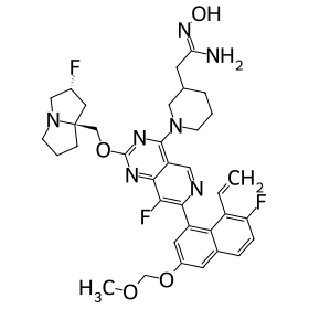 C=Cc1c(F)ccc2cc(OCOC)cc(-c3ncc4c(N5CCCC(C/C(N)=N/O)C5)nc(OC[C@@]56CCCN5C[C@H](F)C6)nc4c3F)c12